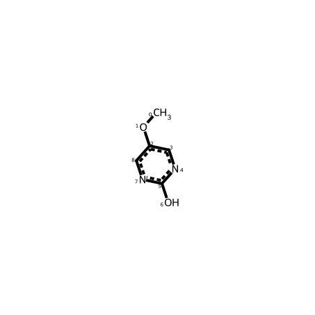 COc1cnc(O)nc1